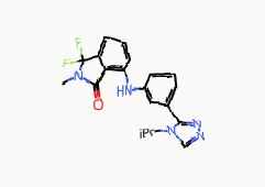 CC(C)n1cnnc1-c1cccc(Nc2cccc3c2C(=O)N(C)C3(F)F)c1